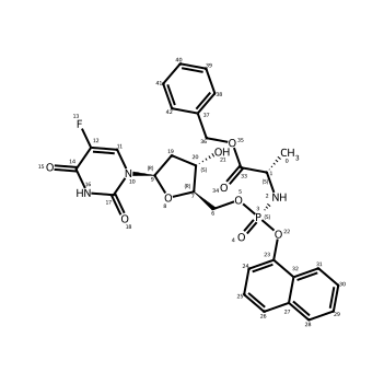 C[C@H](N[P@](=O)(OC[C@H]1O[C@@H](n2cc(F)c(=O)[nH]c2=O)C[C@@H]1O)Oc1cccc2ccccc12)C(=O)OCc1ccccc1